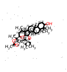 CC[Si](CC)(CC)O[C@H]1[C@H]2O[C@@H](C(C)(C)OC(C)=O)C[C@@H](C)[C@@H]2[C@@]2(C)CC[C@@]34C[C@@]35CCC(O)C(C)(C)[C@@H]5CC[C@H]4[C@]12C